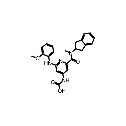 COc1ccccc1Nc1cc(NC(=O)O)cc(C(=O)N(C)C2Cc3ccccc3C2)n1